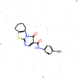 CCCCc1ccc(NC(=O)c2cnc3sc4c(n3c2=O)CCCC4)cc1